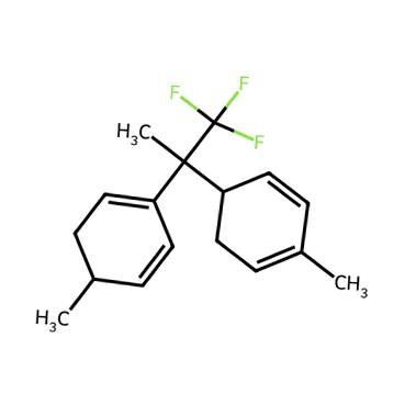 CC1=CCC(C(C)(C2=CCC(C)C=C2)C(F)(F)F)C=C1